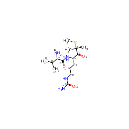 CSC(C)(C)C(=O)[C@H](CCCNC(N)=O)NC(=O)[C@@H](N)C(C)C